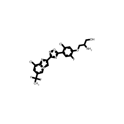 CC(F)(F)c1cc(Cl)c2nc(-c3noc(-c4cc(F)c(OCC(N)CO)cc4Cl)n3)cn2c1